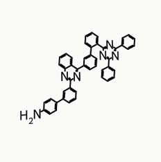 Nc1ccc(-c2cccc(-c3nc(-c4cccc(-c5ccccc5-c5nc(-c6ccccc6)nc(-c6ccccc6)n5)c4)c4ccccc4n3)c2)cc1